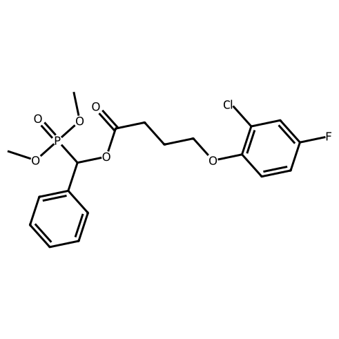 COP(=O)(OC)C(OC(=O)CCCOc1ccc(F)cc1Cl)c1ccccc1